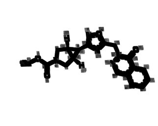 CC(C)(C)OC(=O)N1C[C@@H]2[C@H](C1)[C@H]2c1noc(Cn2ncc3ncccc3c2=O)n1